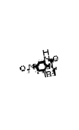 CC(C)(C)Cn1c(=O)[nH]c2cc([N+](=O)[O-])ccc21